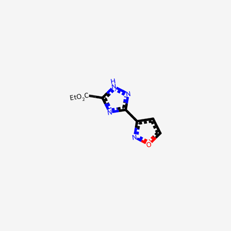 CCOC(=O)c1nc(-c2ccon2)n[nH]1